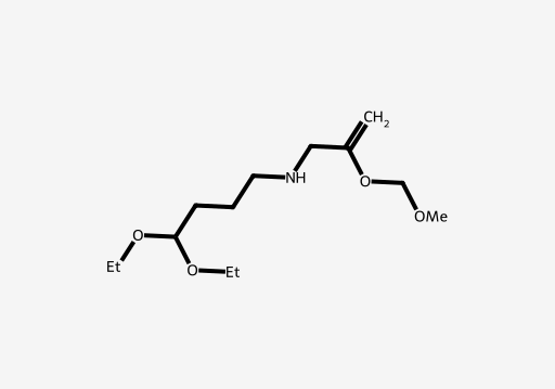 C=C(CNCCCC(OCC)OCC)OCOC